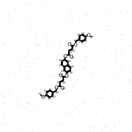 COc1ccc(COC(=O)/C=C/C(=O)Oc2ccc3cc(OC(=O)/C=C/C(=O)OCc4ccc(OC)cc4)ccc3c2)cc1